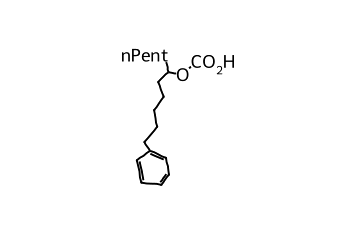 CCCCCC(CCCCCc1ccccc1)OC(=O)O